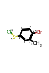 Cc1cc(SCl)ccc1Br